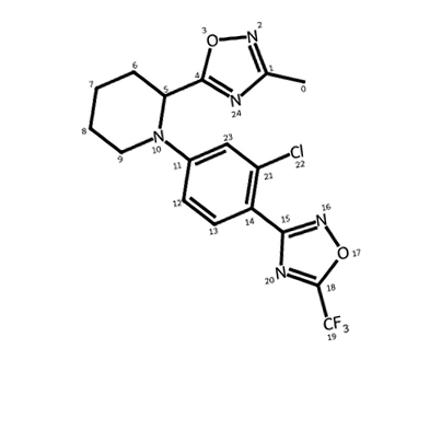 Cc1noc(C2CCCCN2c2ccc(-c3noc(C(F)(F)F)n3)c(Cl)c2)n1